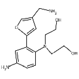 NCc1coc(-c2cc(N)ccc2N(CCO)CCO)c1